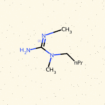 CCCCN(C)/C(N)=N\C